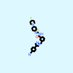 N#Cc1ccc(-c2cnn(Cc3cccc(C(=O)Nc4nc5c(s4)CC(N4CCC(F)CC4)CC5)c3)c2)cc1